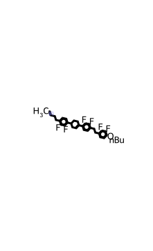 C/C=C/CCc1ccc(C2CC=C(c3ccc(CCc4ccc(OCCCC)c(F)c4F)c(F)c3F)CC2)c(F)c1F